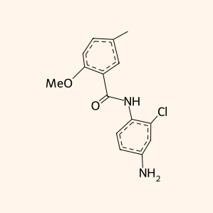 COc1ccc(C)cc1C(=O)Nc1ccc(N)cc1Cl